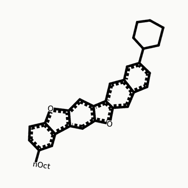 CCCCCCCCc1ccc2oc3cc4c(cc3c2c1)oc1cc2ccc(C3CCCCC3)cc2cc14